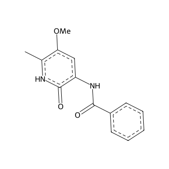 COc1cc(NC(=O)c2ccccc2)c(=O)[nH]c1C